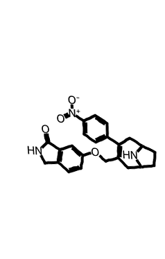 O=C1NCc2ccc(OCC3=C(c4ccc([N+](=O)[O-])cc4)CC4CCC(C3)N4)cc21